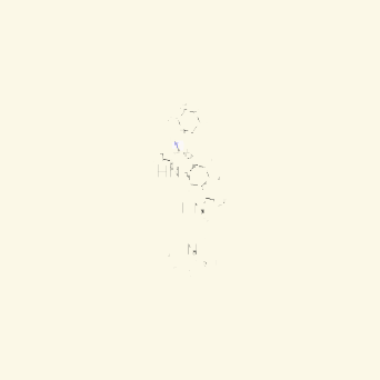 CCC1CCCCN1CCCNC(=O)c1ccc2c(c1)NC(=O)/C(=C/c1ccccc1)S2